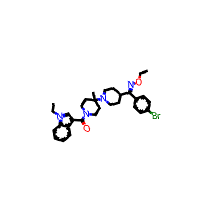 CCO/N=C(\c1ccc(Br)cc1)C1CCN(C2(C)CCN(C(=O)c3cn(CC)c4ccccc34)CC2)CC1